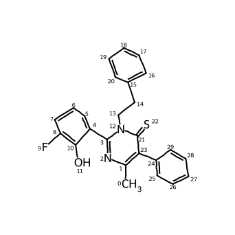 Cc1nc(-c2cccc(F)c2O)n(CCc2ccccc2)c(=S)c1-c1ccccc1